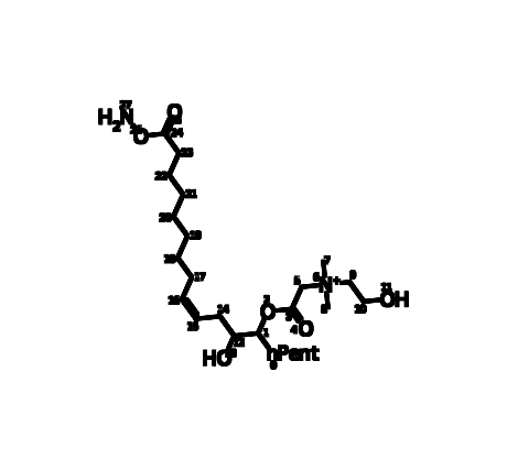 CCCCCC(OC(=O)C[N+](C)(C)CCO)C(O)C/C=C\CCCCCCCC(=O)ON